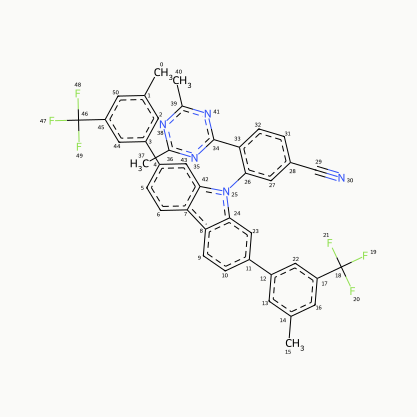 Cc1cc(-c2ccc3c4ccc(-c5cc(C)cc(C(F)(F)F)c5)cc4n(-c4cc(C#N)ccc4-c4nc(C)nc(C)n4)c3c2)cc(C(F)(F)F)c1